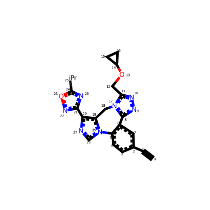 C#Cc1ccc2c(c1)-c1nnc(COC3CC3)n1Cc1c(-c3noc(C(C)C)n3)ncn1-2